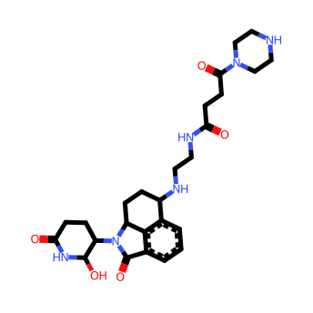 O=C(CCC(=O)N1CCNCC1)NCCNC1CCC2c3c(cccc31)C(=O)N2C1CCC(=O)NC1O